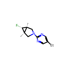 CCc1cnc(N2C[C@@]3(C)[C@H](F)[C@@]3(C)C2)nc1